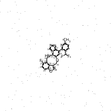 Cc1ccc(C(F)F)c(-c2cc3c(n4cnnc24)NCc2c(F)ccc4c2[C@@H](CO4)CO3)n1